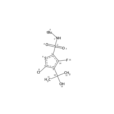 CC(C)(C)NS(=O)(=O)c1sc(Cl)c(C(C)(C)O)c1F